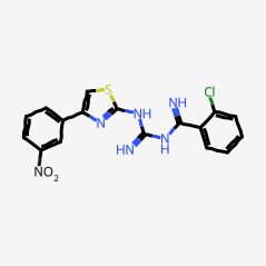 N=C(NC(=N)c1ccccc1Cl)Nc1nc(-c2cccc([N+](=O)[O-])c2)cs1